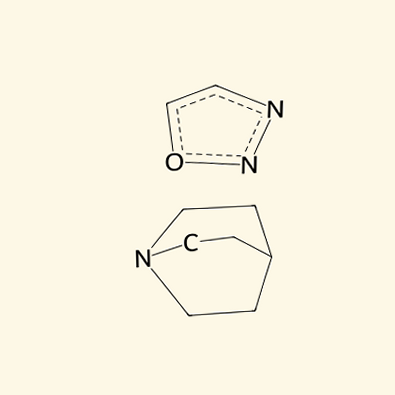 C1CN2CCC1CC2.c1conn1